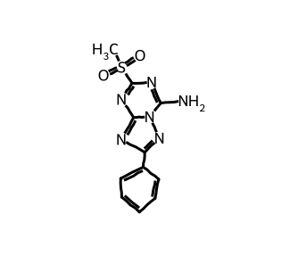 CS(=O)(=O)c1nc(N)n2nc(-c3ccccc3)nc2n1